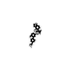 COCc1ccc(-c2cc(NC(=O)C3(c4ccc5c(c4)CCO5)CC3)ccc2C)cc1